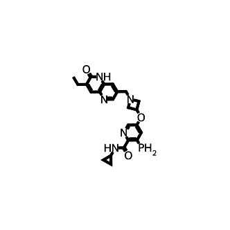 CCc1cc2ncc(CN3CC(Oc4cnc(C(=O)NC5CC5)c(P)c4)C3)cc2[nH]c1=O